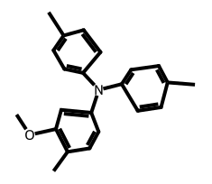 COc1cc(N(c2ccc(C)cc2)c2ccc(C)cc2)ccc1C